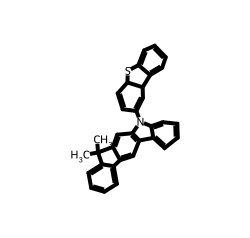 CC1(C)c2ccccc2-c2cc3c4ccccc4n(C4=CC5c6ccccc6SC5C=C4)c3cc21